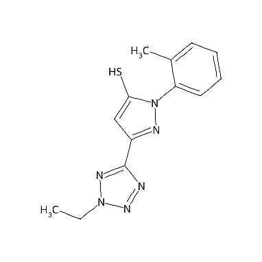 CCn1nnc(-c2cc(S)n(-c3ccccc3C)n2)n1